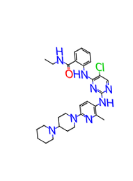 CCNC(=O)c1ccccc1Nc1nc(Nc2ccc(N3CCC(N4CCCCC4)CC3)nc2C)ncc1Cl